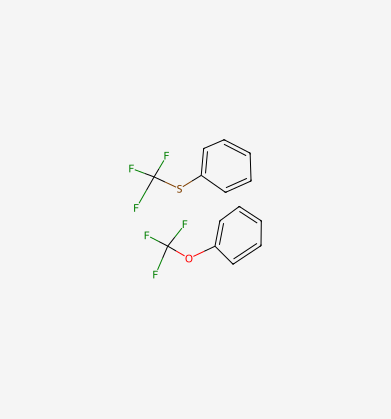 FC(F)(F)Oc1ccccc1.FC(F)(F)Sc1ccccc1